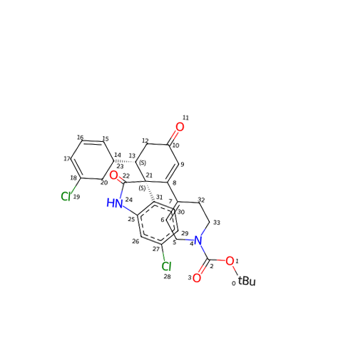 CC(C)(C)OC(=O)N1CC=C(C2=CC(=O)C[C@@H](C3C=CC=C(Cl)C3)[C@]23C(=O)Nc2cc(Cl)ccc23)CC1